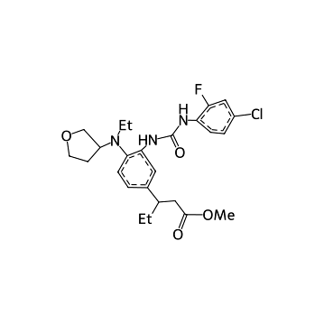 CCC(CC(=O)OC)c1ccc(N(CC)C2CCOC2)c(NC(=O)Nc2ccc(Cl)cc2F)c1